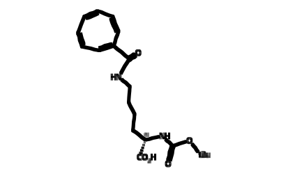 CC(C)(C)OC(=O)N[C@@H](CCCCNC(=O)C1=CC=CC=CC=C1)C(=O)O